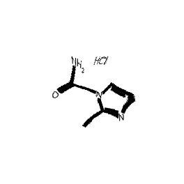 Cc1nccn1C(N)=O.Cl